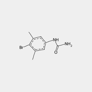 Cc1cc(NC(N)=O)cc(C)c1Br